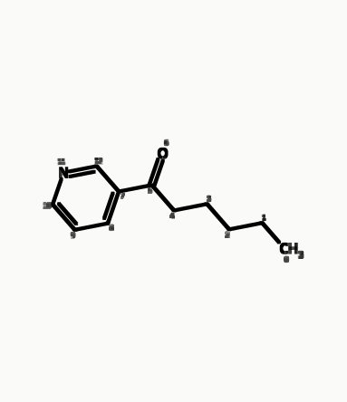 CCCCCC(=O)c1cccnc1